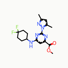 COC(=O)c1cc(NC2CCC(F)(F)CC2)nc(-n2nc(C)cc2C)n1